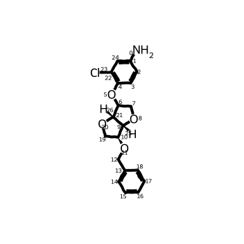 Nc1ccc(OC2CO[C@@H]3[C@@H](OCc4ccccc4)CO[C@H]23)c(Cl)c1